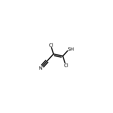 N#CC(Cl)=C(S)Cl